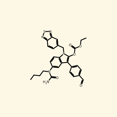 CCCCN(C(N)=O)c1ccc2c(c1)c(-c1ccc(C=O)cc1)c(OC(=O)OCC)n2Cc1ccc2nsnc2c1